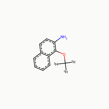 [2H]C([2H])([2H])Oc1c(N)ccc2ccccc12